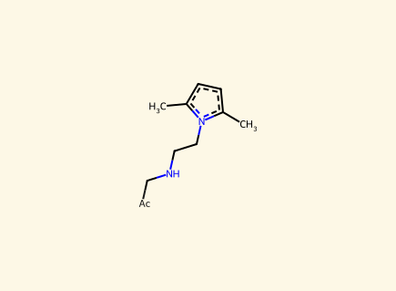 CC(=O)CNCCn1c(C)ccc1C